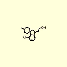 CN1CCC2(CC1)CN(CCO)c1cccc(Cl)c12